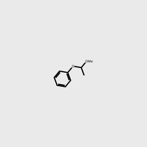 COC(C)Oc1c[c]ccc1